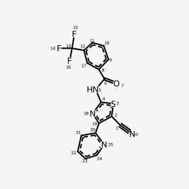 N#Cc1sc(NC(=O)c2cccc(C(F)(F)F)c2)nc1-c1ccccn1